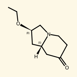 CCO[C@@H]1C[C@H]2CC(=O)CCN2C1